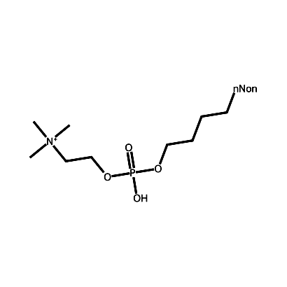 CCCCCCCCCCCCCOP(=O)(O)OCC[N+](C)(C)C